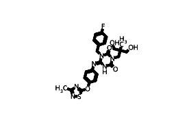 Cc1nsc(Oc2ccc(/N=c3\[nH]c(=O)n(CC(C)(CO)CO)c(=O)n3Cc3ccc(F)cc3)cc2)n1